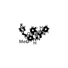 COc1cc(Nc2ncc(-c3nc4ccccc4[nH]3)c(Nc3c(C)cccc3C)n2)cc(OC)c1OCCN1CCN(C)CC1